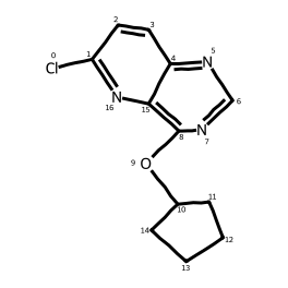 Clc1ccc2ncnc(OC3CCCC3)c2n1